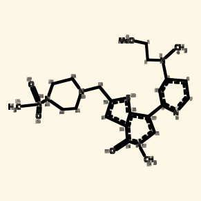 COCCN(C)c1ccnc(-c2cn(C)c(=O)c3cc(CN4CCN(S(C)(=O)=O)CC4)sc23)c1